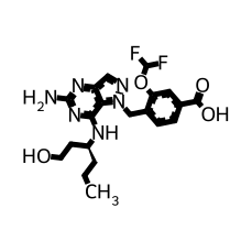 CCC[C@@H](CCO)Nc1nc(N)nc2cnn(Cc3ccc(C(=O)O)cc3OC(F)F)c12